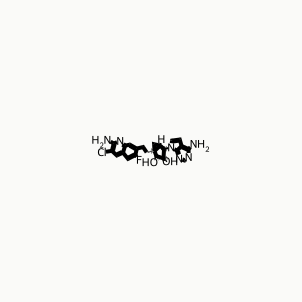 Nc1nc2cc(CC[C@]34C[C@@H]3[C@@H](n3ccc5c(N)ncnc53)[C@H](O)[C@@H]4O)c(F)cc2cc1Cl